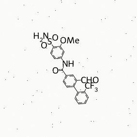 COc1cc(NC(=O)c2ccc(-c3ccccc3C(F)(F)F)c(C=O)c2)ccc1S(N)(=O)=O